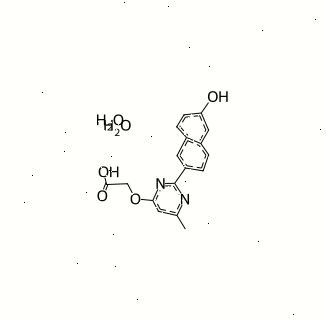 Cc1cc(OCC(=O)O)nc(-c2ccc3cc(O)ccc3c2)n1.O.O